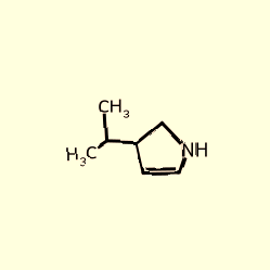 CC(C)C1C=CNC1